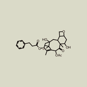 CC(=O)OC1C(=O)C2(C)C(O)CC3OCC3C2CC2(O)C[C@H](OC(=O)CCc3ccccc3)C(C)=C1C2(C)C